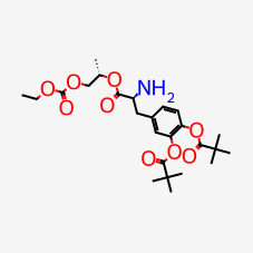 CCOC(=O)OC[C@H](C)OC(=O)[C@@H](N)Cc1ccc(OC(=O)C(C)(C)C)c(OC(=O)C(C)(C)C)c1